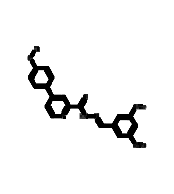 CCOc1ccc(-c2ccnc(C(=O)NN=Cc3cc(OC)cc(OC)c3)c2)cc1